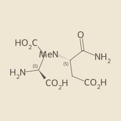 CN[C@@H](CC(=O)O)C(N)=O.N[C@@H](CC(=O)O)C(=O)O